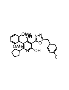 COc1cccc(OC)c1-c1c(C2CCCC2)nc(O)c(-c2nnc(Cc3ccc(Cl)cc3)o2)c1O